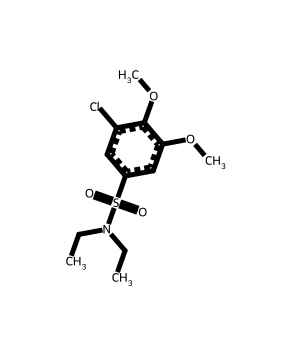 CCN(CC)S(=O)(=O)c1cc(Cl)c(OC)c(OC)c1